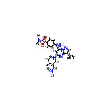 CC(C)c1cnn2c(Nc3ccc(S(=O)(=O)N(C)C)cc3)cc(N3CCCC(CN(C)C)C3)nc12